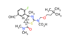 CN(C)C(=O)[C@]12C[C@H]1[C@@](C)(c1cc(C=O)ccc1F)N=C(N(COCC[Si](C)(C)C)C(=O)O)S2